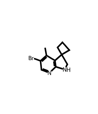 Cc1c(Br)cnc2c1C1(CCC1)CN2